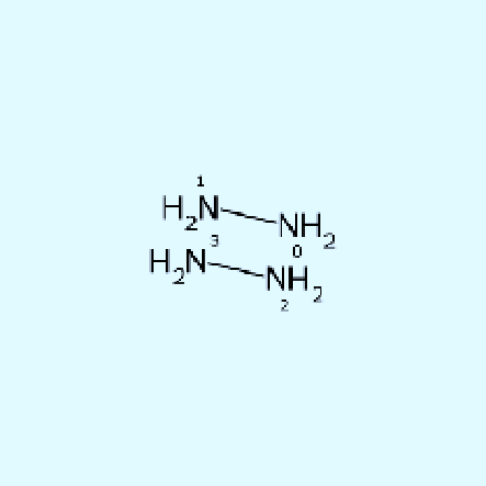 NN.NN